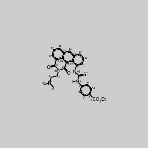 CCOC(=O)c1ccc(NC(=S)Nc2cccc3cc4cccc5c4c(c23)C(=O)N(CCN(C)C)C5=O)cc1